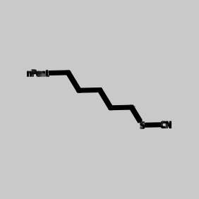 CCCCCCCCC[CH]SC#N